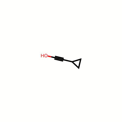 OC#CC1CC1